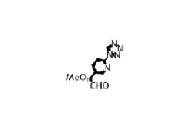 CO[C@@H](C=O)c1ccc(-n2cnnn2)nc1